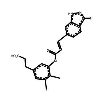 Cc1c(F)cc(CCC(=O)O)cc1NC(=O)/C=C/c1ccc2c(F)n[nH]c2c1